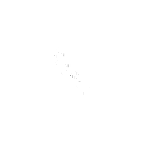 CC(C)C1(CNC(=O)c2cnn(-c3ccc(F)c(Cl)c3)n2)NC(=O)NC1=O